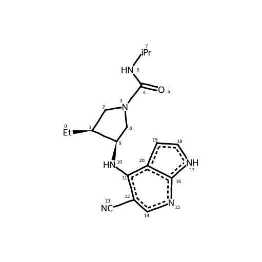 CC[C@H]1CN(C(=O)NC(C)C)C[C@H]1Nc1c(C#N)cnc2[nH]ccc12